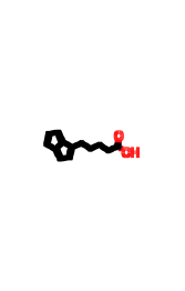 O=C(O)CCCCC1=CC=C2C=CC=C21